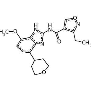 CCc1nocc1C(=O)Nc1nc2c(C3CCOCC3)ccc(OC)c2[nH]1